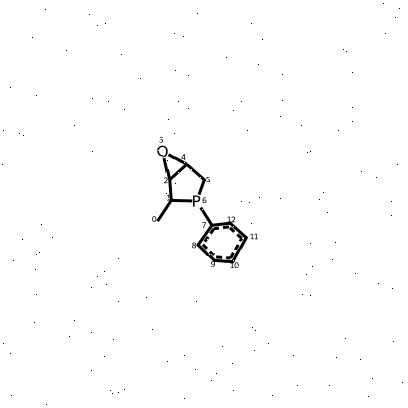 CC1C2OC2CP1c1ccccc1